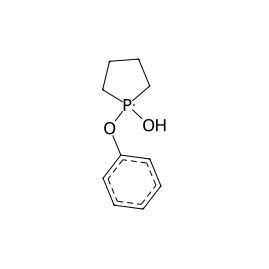 O[P]1(Oc2ccccc2)CCCC1